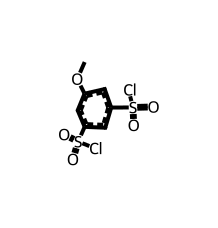 COc1cc(S(=O)(=O)Cl)cc(S(=O)(=O)Cl)c1